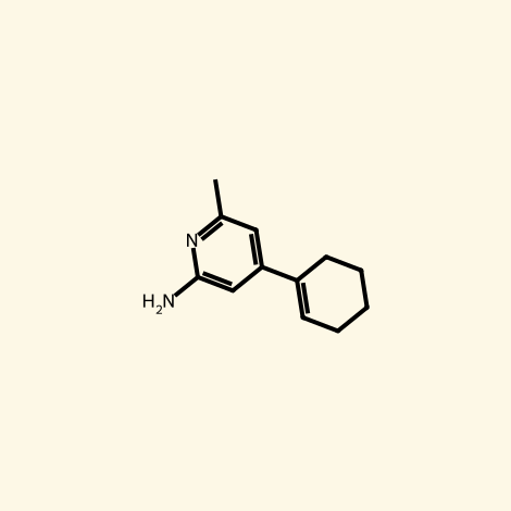 Cc1cc(C2=CCCCC2)cc(N)n1